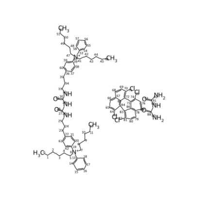 CCCCCC[N+](CCCCCC)(c1ccccc1)c1ccc(CCCNC(=O)NC(=O)NCCCc2ccc([N+](CCCCCC)(CCCCCC)c3ccccc3)cc2)cc1.Clc1ccc2ccc(Cl)c3c4c(Cl)ccc5ccc(Cl)c(c1c23)c54.NC(=O)NC(N)=O